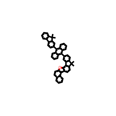 CC1(C)c2ccccc2-c2ccc(-c3c4ccccc4c(-c4ccc5c(c4)-c4c(ccc6c4oc4ccc7ccccc7c46)C5(C)C)c4ccccc34)cc21